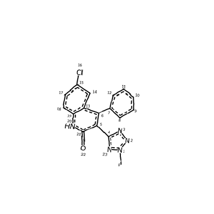 Cn1nnc(-c2c(-c3ccccc3)c3cc(Cl)ccc3[nH]c2=O)n1